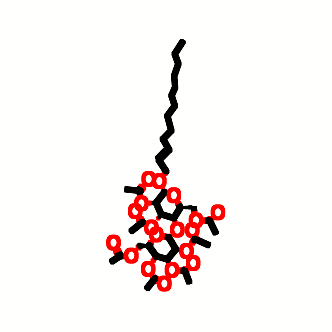 CCCCCCCCCC/C=C/CO[C@@H]1O[C@H](COC(C)=O)[C@@H](O[C@@H]2O[C@H](COC(C)=O)[C@H](OC(C)=O)[C@H](OC(C)=O)[C@H]2OC(C)=O)[C@H](OC(C)=O)[C@H]1OC(C)=O